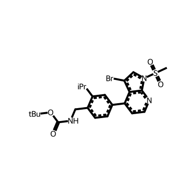 CC(C)c1cc(-c2ccnc3c2c(Br)cn3S(C)(=O)=O)ccc1CNC(=O)OC(C)(C)C